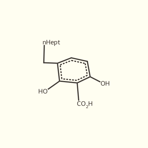 CCCCCCCCc1ccc(O)c(C(=O)O)c1O